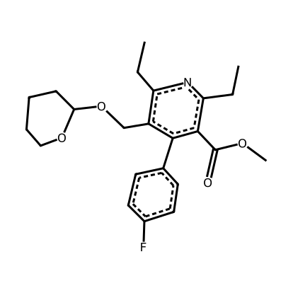 CCc1nc(CC)c(C(=O)OC)c(-c2ccc(F)cc2)c1COC1CCCCO1